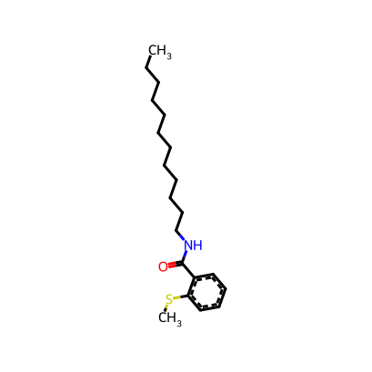 CCCCCCCCCCCCNC(=O)c1ccccc1SC